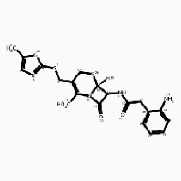 Cc1cnc(SCC2=C(C(=O)O)N3C(=O)C(NC(=O)Cc4ccccc4N)[C@H]3SC2)s1